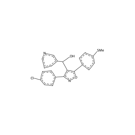 CSc1ccc(-c2onc(-c3ccc(Cl)cc3)c2C(O)c2cccnc2)cc1